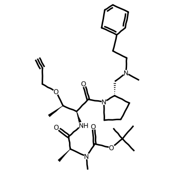 C#CCO[C@H](C)[C@H](NC(=O)[C@H](C)N(C)C(=O)OC(C)(C)C)C(=O)N1CCC[C@H]1CN(C)CCc1ccccc1